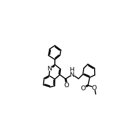 COC(=O)C1=C(CNC(=O)c2cc(-c3ccccc3)nc3ccccc23)CC=CC1